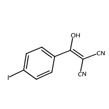 N#CC(C#N)=C(O)c1ccc(I)cc1